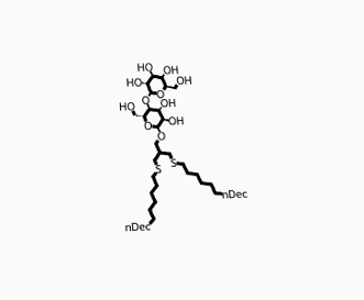 CCCCCCCCCCCCCCCCSCC(CO[C@H]1O[C@H](CO)[C@@H](O[C@@H]2O[C@H](CO)[C@H](O)[C@H](O)[C@H]2O)[C@H](O)[C@H]1O)CSCCCCCCCCCCCCCCCC